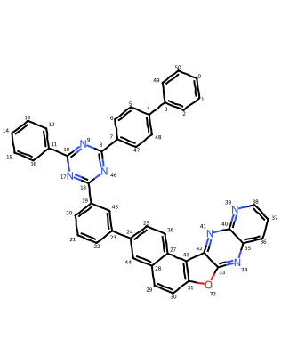 c1ccc(-c2ccc(-c3nc(-c4ccccc4)nc(-c4cccc(-c5ccc6c(ccc7oc8nc9cccnc9nc8c76)c5)c4)n3)cc2)cc1